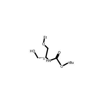 CCCCOC(=O)N[C@H](CO)COCC